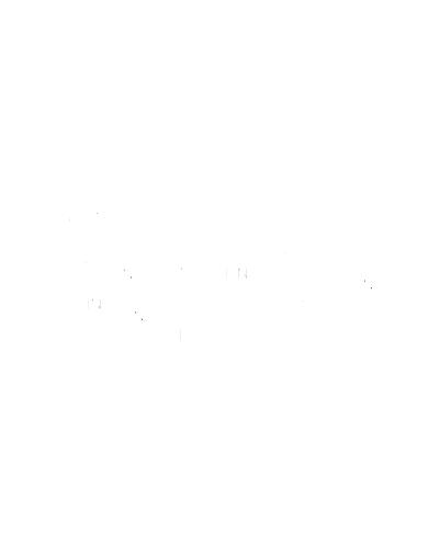 C[C@@]1(c2cccc(Nc3ccc(C#N)cc3)c2Cl)CC(=O)N(C2CCOCC2)C(=N)N1